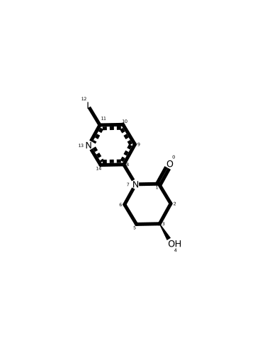 O=C1C[C@@H](O)CCN1c1ccc(I)nc1